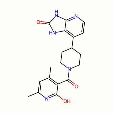 Cc1cc(C)c(C(=O)N2CCC(c3ccnc4[nH]c(=O)[nH]c34)CC2)c(O)n1